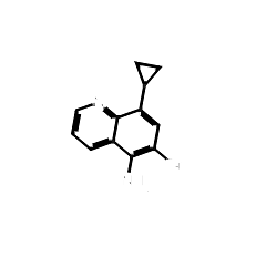 Nc1c(Br)cc(C2CC2)c2ncccc12